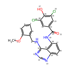 COc1ccccc1CNc1ncnc2cccc(NC(=O)c3cc(Cl)c(O)c(Cl)c3)c12